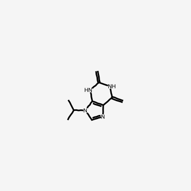 C=C1NC(=C)c2ncn(C(C)C)c2N1